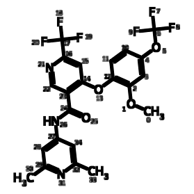 COc1cc(OC(F)(F)F)ccc1Oc1cc(C(F)(F)F)ncc1C(=O)Nc1cc(C)nc(C)c1